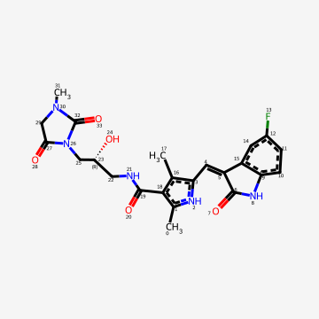 Cc1[nH]c(C=C2C(=O)Nc3ccc(F)cc32)c(C)c1C(=O)NC[C@@H](O)CN1C(=O)CN(C)C1=O